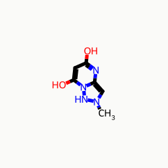 CN1C=C2N=C(O)C=C(O)N2N1